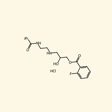 CC(C)C(=O)NCCNCC(O)COC(=O)c1ccccc1F.Cl